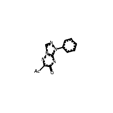 CC(=O)c1nn2cnn(-c3ccccc3)c2nc1=O